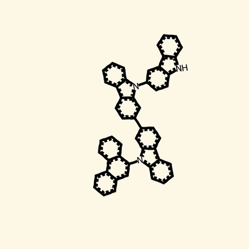 c1ccc2c(c1)cc(-n1c3ccccc3c3ccc(-c4ccc5c6ccccc6n(-c6ccc7[nH]c8ccccc8c7c6)c5c4)cc31)c1ccccc12